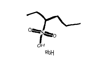 CCCC(CC)S(=O)(=O)O.[RbH]